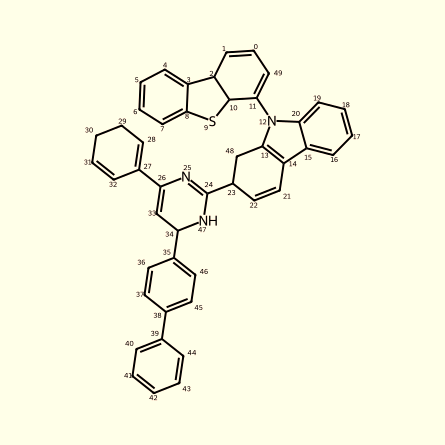 C1=CC2c3ccccc3SC2C(n2c3c(c4ccccc42)C=CC(C2=NC(C4=CCCC=C4)=CC(c4ccc(-c5ccccc5)cc4)N2)C3)=C1